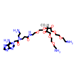 NCCOCCOCC(=O)C(OCCOCCNC(=O)CCN(CCN)C(=O)Cn1cnc2ncnc-2c1N)(C(=O)O)C(=O)COCCOCCN